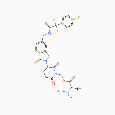 CCN(C)C(C(=O)OCN1C(=O)CCC(N2Cc3cc(CNC(=O)C(F)(F)c4ccc(F)cc4)ccc3C2=O)C1=O)C(C)C